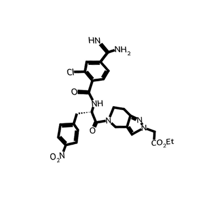 CCOC(=O)Cn1cc2c(n1)CCN(C(=O)[C@H](Cc1ccc([N+](=O)[O-])cc1)NC(=O)c1ccc(C(=N)N)cc1Cl)C2